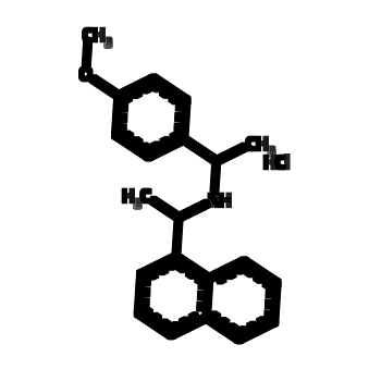 COc1ccc(C(C)NC(C)c2cccc3ccccc23)cc1.Cl